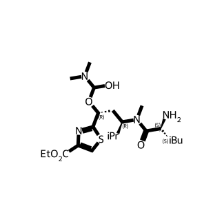 CCOC(=O)c1csc([C@@H](C[C@H](C(C)C)N(C)C(=O)[C@@H](N)[C@@H](C)CC)OC(O)N(C)C)n1